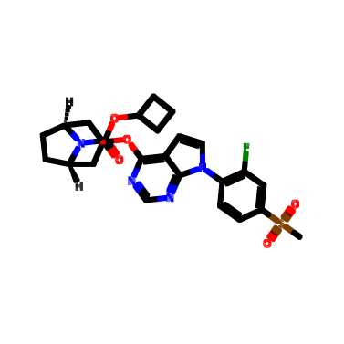 CS(=O)(=O)c1ccc(-n2ccc3c(OC4C[C@@H]5CC[C@@H](C4)N5C(=O)OC4CCC4)ncnc32)c(F)c1